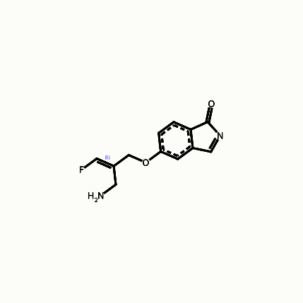 NC/C(=C\F)COc1ccc2c(c1)C=NC2=O